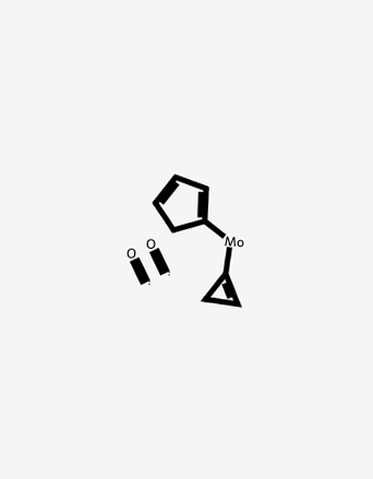 C1=CC[C]([Mo][C]2=CC2)=C1.[C]=O.[C]=O